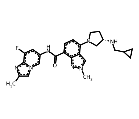 Cc1cn2cc(NC(=O)c3ccc(N4CC[C@H](NCC5CC5)C4)c4cn(C)nc34)cc(F)c2n1